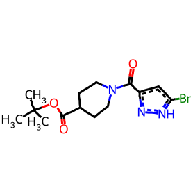 CC(C)(C)OC(=O)C1CCN(C(=O)c2cc(Br)[nH]n2)CC1